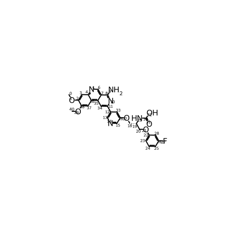 COc1cc2ncc3c(N)nc(-c4cncc(OC[C@@H](COc5cccc(F)c5)NC(=O)O)c4)cc3c2cc1OC